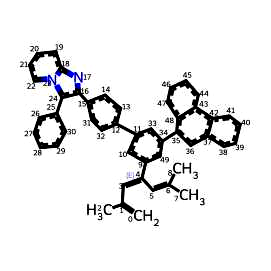 C=C(C)/C=C(\C=C(C)C)c1cc(-c2ccc(-c3nc4ccccn4c3-c3ccccc3)cc2)cc(-c2cc3ccccc3c3ccccc23)c1